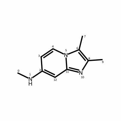 CNc1ccn2c(C)c(C)nc2c1